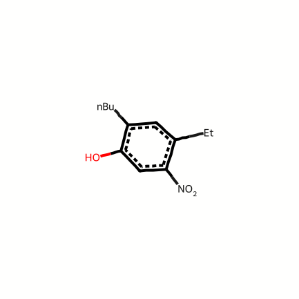 CCCCc1cc(CC)c([N+](=O)[O-])cc1O